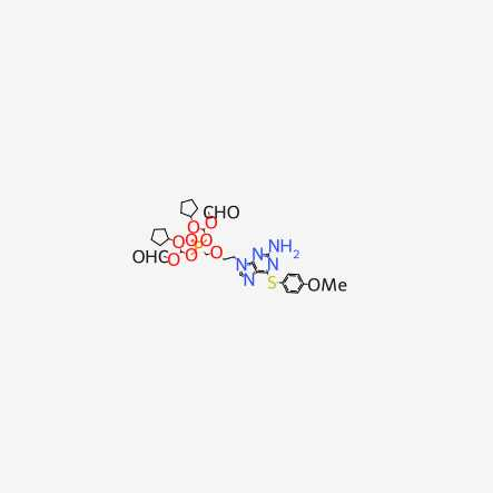 COc1ccc(Sc2nc(N)nc3c2ncn3CCOCP(=O)(OC(OC=O)OC2CCCC2)OC(OC=O)OC2CCCC2)cc1